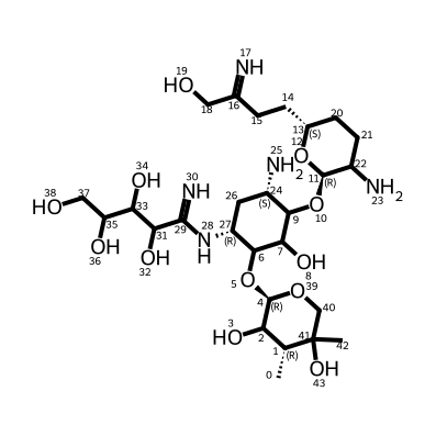 C[C@@H]1C(O)[C@@H](OC2C(O)C(O[C@H]3O[C@H](CCC(=N)CO)CCC3N)[C@@H](N)C[C@H]2NC(=N)C(O)C(O)C(O)CO)OCC1(C)O